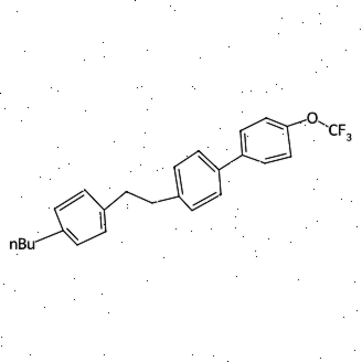 CCCCc1ccc(CCc2ccc(-c3ccc(OC(F)(F)F)cc3)cc2)cc1